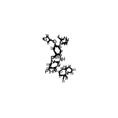 Cc1nnnn1-c1cc(Nc2ncc(F)c(N[C@@H]3C[C@@H]4CCCN4C(C)(C)C3)n2)c(F)cc1OC1COC1